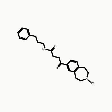 CC(C)N1CCc2ccc(C(=O)CCC(=O)NCCCc3ccccc3)cc2CC1